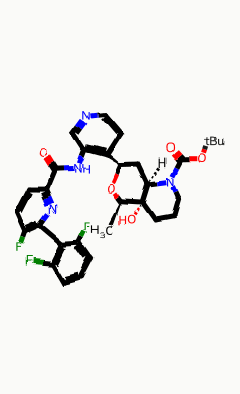 C[C@H]1O[C@@H](c2ccncc2NC(=O)c2ccc(F)c(-c3c(F)cccc3F)n2)C[C@H]2N(C(=O)OC(C)(C)C)CCC[C@@]12O